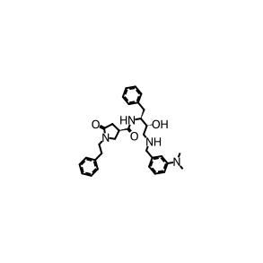 CN(C)c1cccc(CNC[C@@H](O)[C@H](Cc2ccccc2)NC(=O)[C@@H]2CC(=O)N(CCc3ccccc3)C2)c1